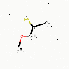 CO[SiH2]C(C)S